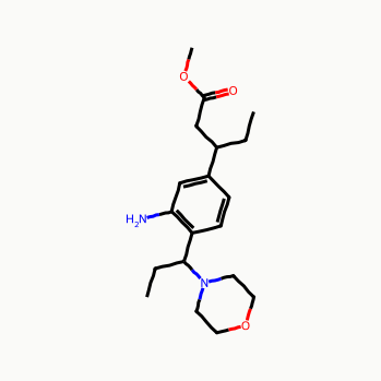 CCC(CC(=O)OC)c1ccc(C(CC)N2CCOCC2)c(N)c1